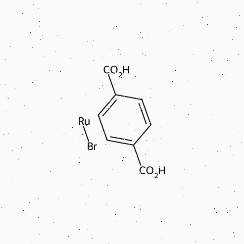 O=C(O)c1ccc(C(=O)O)cc1.[Br][Ru]